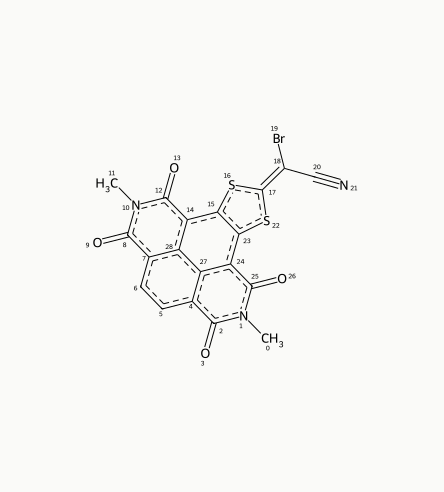 Cn1c(=O)c2ccc3c(=O)n(C)c(=O)c4c5sc(=C(Br)C#N)sc5c(c1=O)c2c34